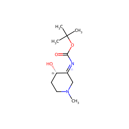 CN1CC[C@H](O)/C(=N\C(=O)OC(C)(C)C)C1